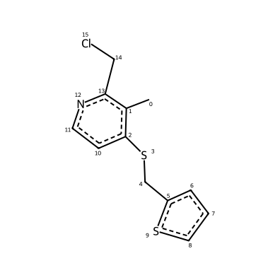 Cc1c(SCc2cccs2)ccnc1CCl